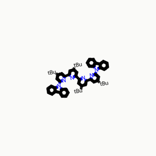 CC(C)(C)c1cc(-c2cc(C(C)(C)C)cc(-c3cc(C(C)(C)C)cc(-n4c5ccccc5c5ccccc54)n3)n2)nc(-c2cc(C(C)(C)C)cc(-n3c4ccccc4c4ccccc43)n2)c1